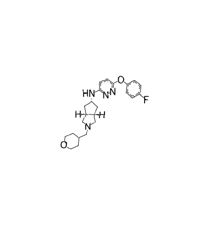 Fc1ccc(Oc2ccc(N[C@@H]3C[C@@H]4CN(CC5CCOCC5)C[C@@H]4C3)nn2)cc1